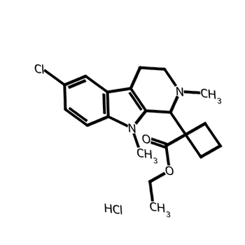 CCOC(=O)C1(C2c3c(c4cc(Cl)ccc4n3C)CCN2C)CCC1.Cl